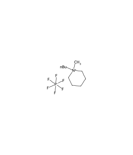 CCCC[N+]1(C)CCCCC1.F[P-](F)(F)(F)(F)F